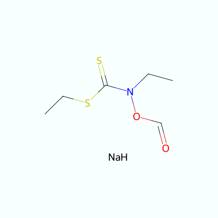 CCSC(=S)N(CC)OC=O.[NaH]